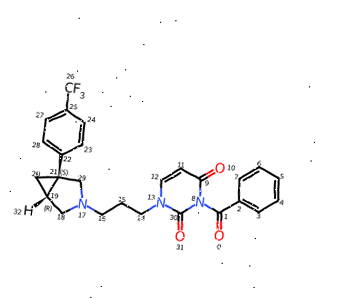 O=C(c1ccccc1)n1c(=O)ccn(CCCN2C[C@@H]3C[C@]3(c3ccc(C(F)(F)F)cc3)C2)c1=O